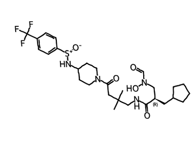 CC(C)(CNC(=O)[C@H](CC1CCCC1)CN(O)C=O)CC(=O)N1CCC(N[S+]([O-])c2ccc(C(F)(F)F)cc2)CC1